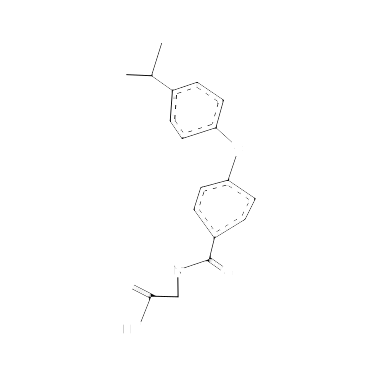 CC(C)c1ccc(Oc2ccc(C(=O)NCC(=O)O)cc2)cc1